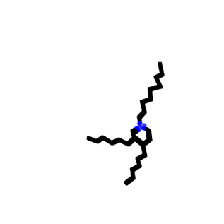 CCCCCCCCC[n+]1ccc(CCCCCC)c(CCCCCC)c1